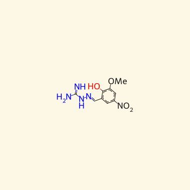 COc1cc([N+](=O)[O-])cc(/C=N/NC(=N)N)c1O